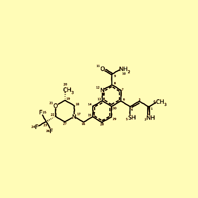 CC(=N)/C=C(\S)c1cc(C(N)=O)nc2cc(CN3C[C@@H](C)O[C@@H](C(F)(F)F)C3)ccc12